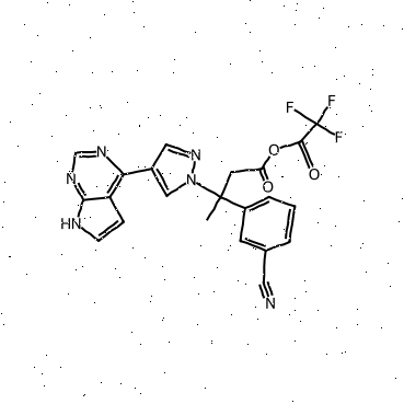 CC(CC(=O)OC(=O)C(F)(F)F)(c1cccc(C#N)c1)n1cc(-c2ncnc3[nH]ccc23)cn1